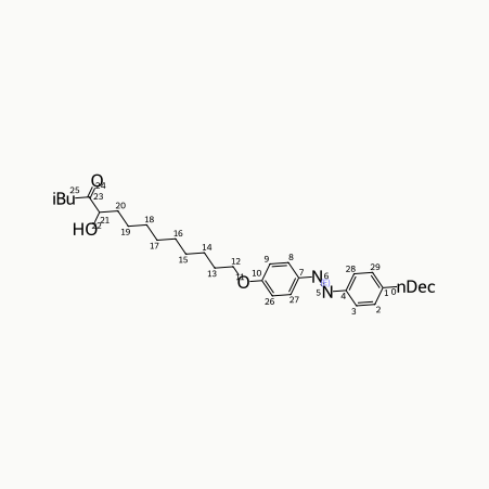 CCCCCCCCCCc1ccc(/N=N/c2ccc(OCCCCCCCCCC(O)C(=O)C(C)CC)cc2)cc1